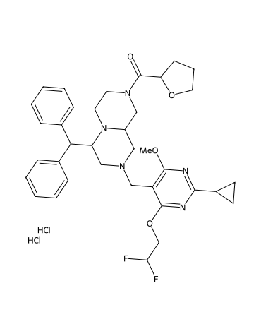 COc1nc(C2CC2)nc(OCC(F)F)c1CN1CC2CN(C(=O)C3CCCO3)CCN2C(C(c2ccccc2)c2ccccc2)C1.Cl.Cl